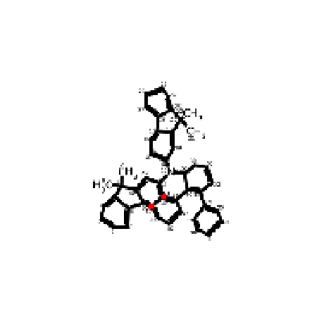 CC1(C)c2ccccc2-c2ccc(N(c3ccc4c(c3)C(C)(C)c3ccccc3-4)C3CC=CC(c4ccccc4)=C3c3ccccc3)cc21